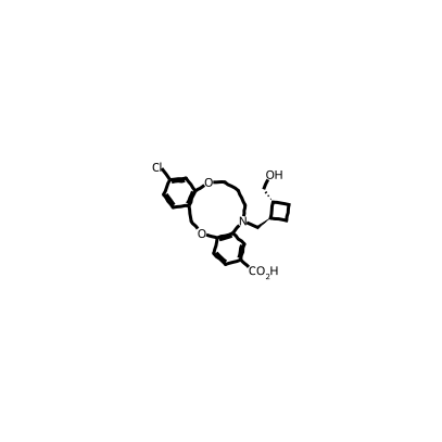 O=C(O)c1ccc2c(c1)N(C[C@@H]1CC[C@H]1CO)CCCOc1cc(Cl)ccc1CO2